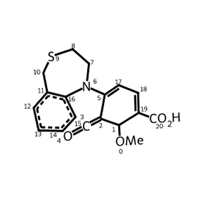 COC1C(=C=O)C(N2CCSCc3ccccc32)=CC=C1C(=O)O